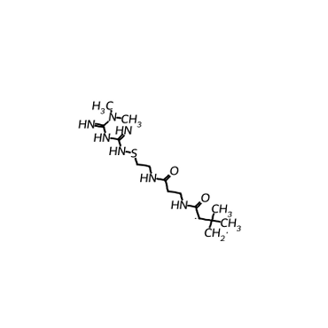 [CH2]C(C)(C)[CH]C(=O)NCCC(=O)NCCSNC(=N)NC(=N)N(C)C